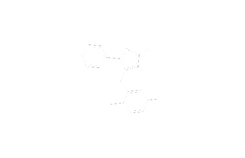 CCc1nc(-c2cccnc2)n(Cc2cc(Cl)ccc2Cl)c1C(=O)O